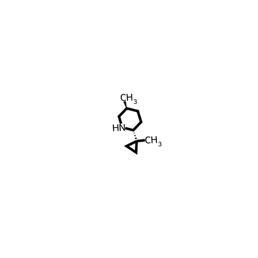 C[C@H]1CC[C@H](C2(C)CC2)NC1